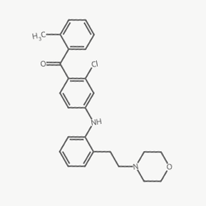 Cc1ccccc1C(=O)c1ccc(Nc2ccccc2CCN2CCOCC2)cc1Cl